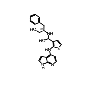 OC[C@@H](Cc1ccccc1)NC(O)c1ccsc1Nc1ccnc2[nH]ccc12